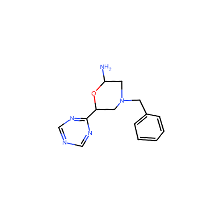 NC1CN(Cc2ccccc2)CC(c2ncncn2)O1